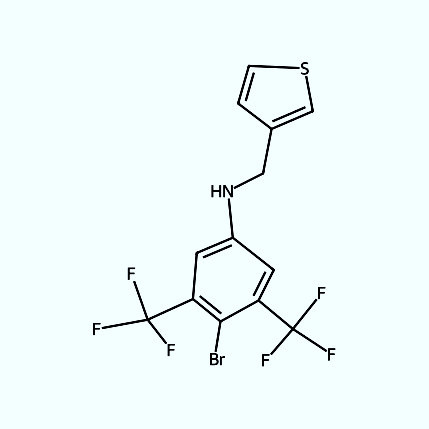 FC(F)(F)c1cc(NCc2ccsc2)cc(C(F)(F)F)c1Br